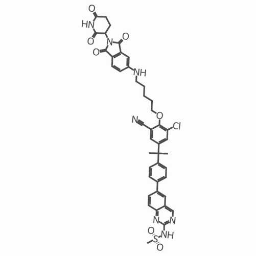 CC(C)(c1ccc(-c2ccc3nc(NS(C)(=O)=O)ncc3c2)cc1)c1cc(Cl)c(OCCCCCNc2ccc3c(c2)C(=O)N(C2CCC(=O)NC2=O)C3=O)c(C#N)c1